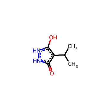 CC(C)c1c(O)[nH][nH]c1=O